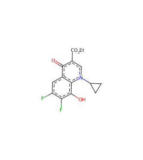 CCOC(=O)c1cn(C2CC2)c2c(O)c(F)c(F)cc2c1=O